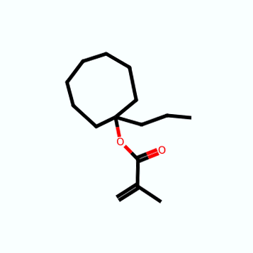 C=C(C)C(=O)OC1(CCC)CCCCCCC1